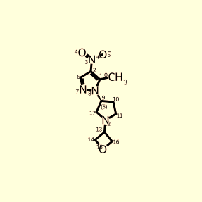 Cc1c([N+](=O)[O-])cnn1[C@H]1CCN(C2COC2)C1